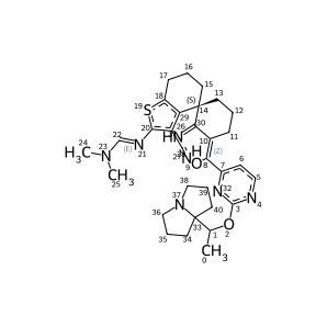 CC(Oc1nccc(/C(O)=C2\CCC[C@@]3(CCCc4sc(/N=C/N(C)C)c(C#N)c43)C2=N)n1)C12CCCN1CCC2